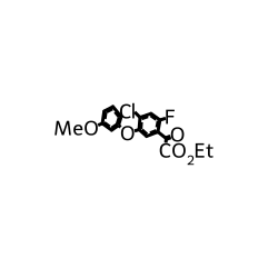 CCOC(=O)C(=O)c1cc(Oc2cccc(OC)c2)c(Cl)cc1F